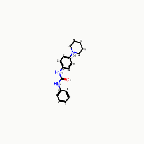 O=C(Nc1ccccc1)Nc1ccc(N2CCCCC2)cc1